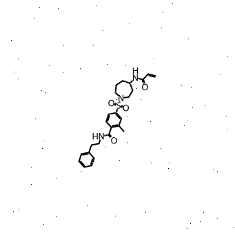 C=CC(=O)NC1CCCN(S(=O)(=O)c2ccc(C(=O)NCCc3ccccc3)c(C)c2)CC1